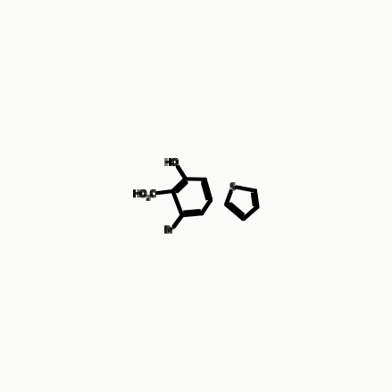 O=C(O)c1c(O)cccc1Br.c1ccsc1